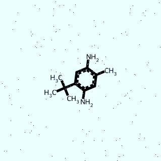 Cc1cc(N)c(C(C)(C)C)cc1N